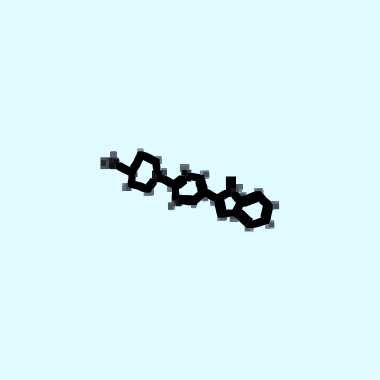 OC1CCN(c2ncc(-c3cc4ccccc4[nH]3)cn2)CC1